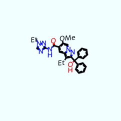 CCc1c(C(O)(c2ccccc2)c2ccccc2)nn2cc(OC)c(C(=O)Nc3ncn(CC)n3)cc12